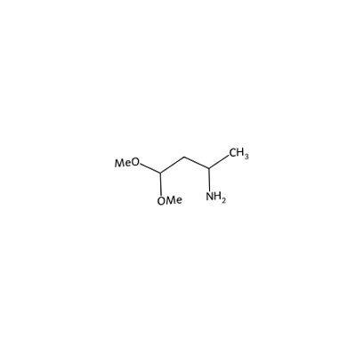 COC(CC(C)N)OC